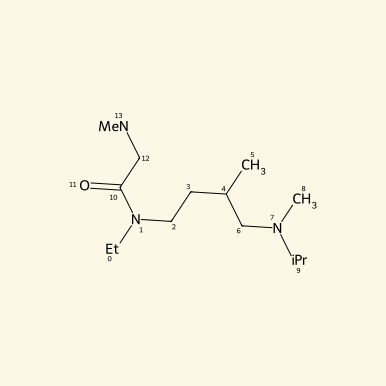 CCN(CCC(C)CN(C)C(C)C)C(=O)CNC